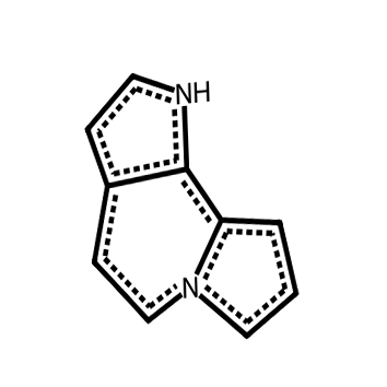 c1cc2c3[nH]ccc3ccn2c1